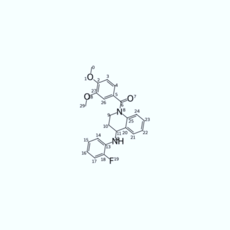 COc1ccc(C(=O)N2CCC(Nc3ccccc3F)c3ccccc32)cc1OC